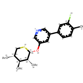 COc1ccc(-c2cncc(O[C@H]3SC[C@@H](OC(C)=O)[C@H](OC(C)=O)[C@H]3OC(C)=O)c2)cc1F